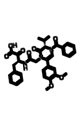 COc1ccc(C2=CN(C(=O)c3ccccc3)[C@@H](C(C)C)C(=O)N2CC(=O)N[C@@H](Cc2ccccc2)C(=O)C(=O)O)cc1OC